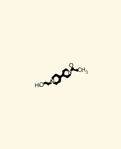 C=CC(=O)N1CC[C]([C]2CCN(CCO)CC2)CC1